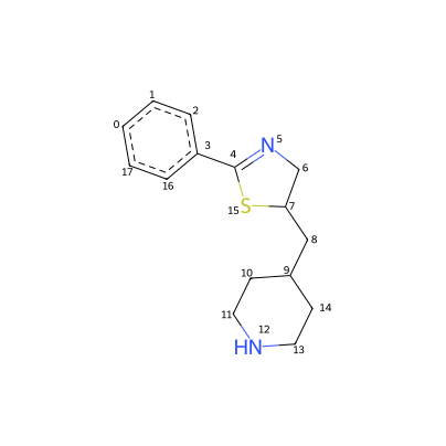 c1ccc(C2=NCC(CC3CCNCC3)S2)cc1